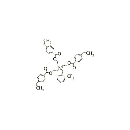 C=Cc1ccc(C(=O)OCC[N+](CCOC(=O)c2ccc(C=C)cc2)(CCOC(=O)c2ccc(C=C)cc2)Cc2ccccc2C(F)(F)F)cc1